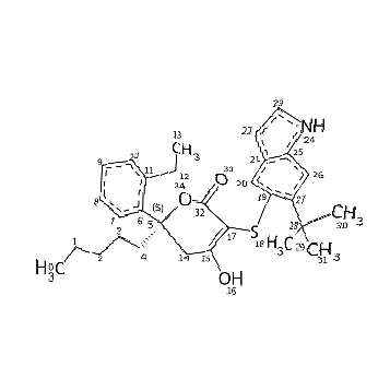 CCCCC[C@@]1(c2ccccc2CC)CC(O)=C(Sc2cc3cc[nH]c3cc2C(C)(C)C)C(=O)O1